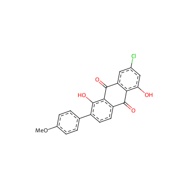 COc1ccc(-c2ccc3c(c2O)C(=O)c2cc(Cl)cc(O)c2C3=O)cc1